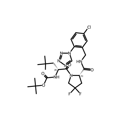 CC(C)(C)C[C@@H](NC(=O)OC(C)(C)C)C(=O)N1CC(F)(F)C[C@H]1C(=O)NCc1cc(Cl)ccc1-n1cnnn1